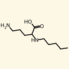 CCCCCNC(CCCN)C(=O)O